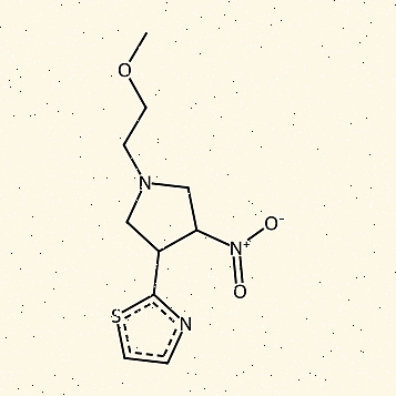 COCCN1CC(c2nccs2)C([N+](=O)[O-])C1